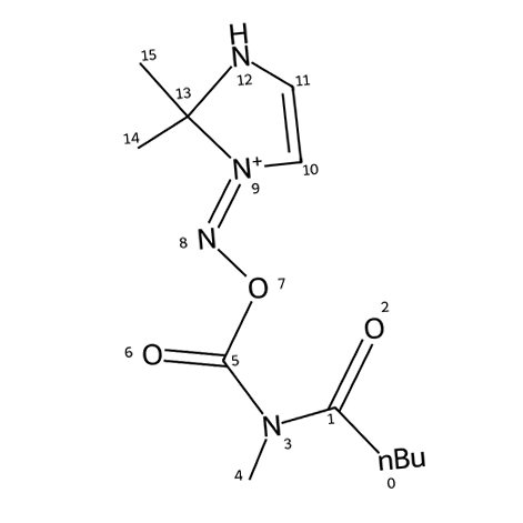 CCCCC(=O)N(C)C(=O)ON=[N+]1C=CNC1(C)C